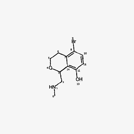 CNCC1OCCc2c(Br)ccc(O)c21